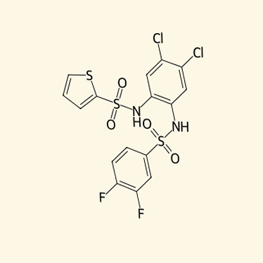 O=S(=O)(Nc1cc(Cl)c(Cl)cc1NS(=O)(=O)c1cccs1)c1ccc(F)c(F)c1